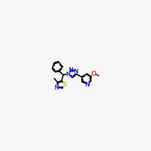 COc1cncc(-c2cn(C(c3ccccc3)c3scnc3C)nn2)c1